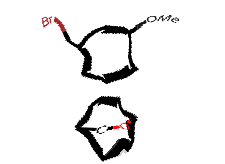 COc1cccc(Br)c1.c1cc2ccc1CO2